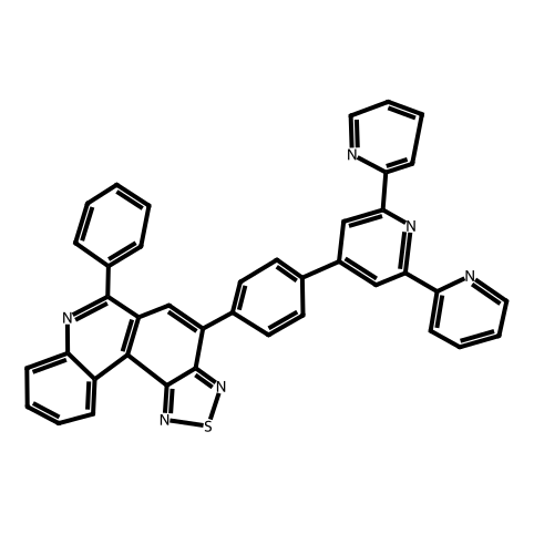 c1ccc(-c2nc3ccccc3c3c2cc(-c2ccc(-c4cc(-c5ccccn5)nc(-c5ccccn5)c4)cc2)c2nsnc23)cc1